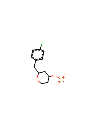 CS(=O)(=O)OC1CCOC(Cc2ccc(Cl)cc2)C1